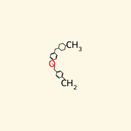 C=Cc1ccc(CCOc2ccc(CC3CCC(C)CC3)cc2)cc1